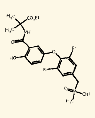 CCOC(=O)C(C)(C)NC(=O)c1cc(Oc2c(Br)cc(CP(C)(=O)O)cc2Br)ccc1O